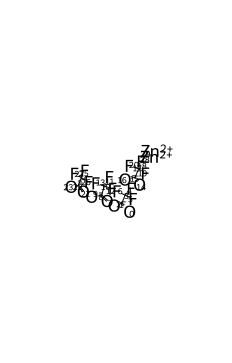 O=C([O-])C(F)(F)F.O=C([O-])C(F)(F)F.O=C([O-])C(F)(F)F.O=C([O-])C(F)(F)F.[Zn+2].[Zn+2]